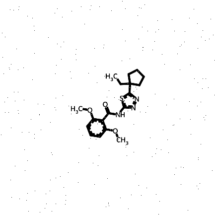 CCC1(c2nnc(NC(=O)c3c(OC)cccc3OC)s2)CCCC1